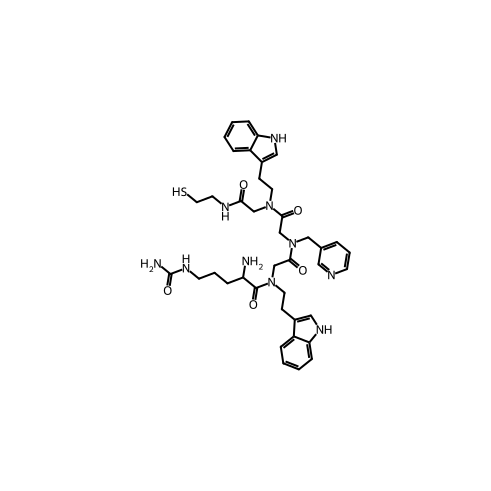 NC(=O)NCCCC(N)C(=O)N(CCc1c[nH]c2ccccc12)CC(=O)N(CC(=O)N(CCc1c[nH]c2ccccc12)CC(=O)NCCS)Cc1cccnc1